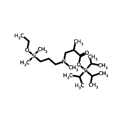 CCO[Si](C)(C)CCCN(C)CC(C)C(=O)O[Si](C(C)C)(C(C)C)C(C)C